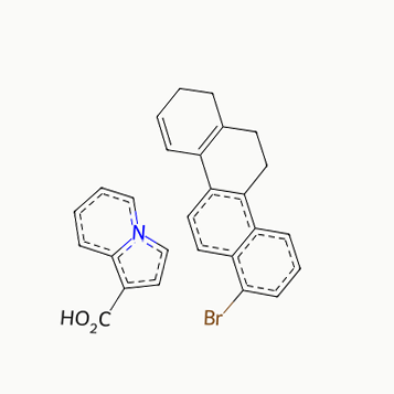 Brc1cccc2c3c(ccc12)C1=C(CCC=C1)CC3.O=C(O)c1ccn2ccccc12